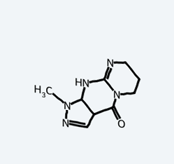 CN1N=CC2C(=O)N3CCCN=C3NC21